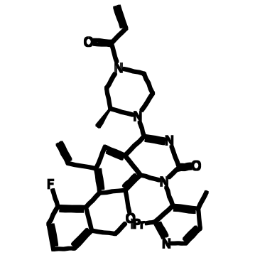 C=CC(=O)N1CCN(c2nc(=O)n(-c3c(C)ccnc3C(C)C)c3c4c(c(C=C)cc23)-c2c(F)cccc2CO4)[C@@H](C)C1